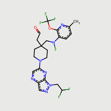 Cc1ccc(N(F)CC2(CC=O)CCN(c3cnc4cnn(CC(F)F)c4n3)CC2)c(OC(F)(F)F)n1